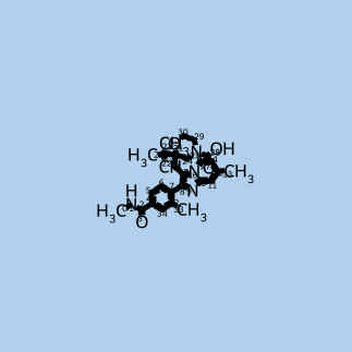 CNC(=O)c1ccc(-c2nc3cc(C)ccn3c2CC2(C(C)(C)C)CN(C(=O)O)CCO2)c(C)c1